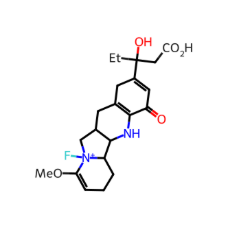 CCC(O)(CC(=O)O)C1=CC(=O)C2=C(C1)CC1C[N+]3(F)C(OC)=CCCC3C1N2